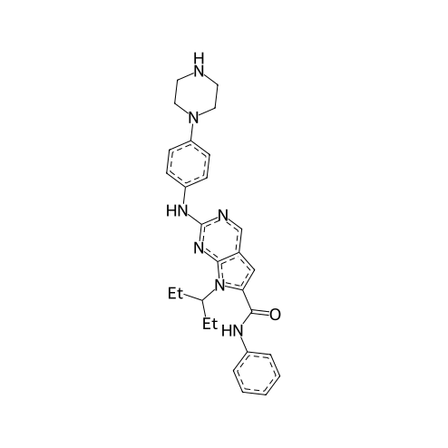 CCC(CC)n1c(C(=O)Nc2ccccc2)cc2cnc(Nc3ccc(N4CCNCC4)cc3)nc21